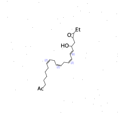 CCC1OC1CC(O)/C=C/C=C\C/C=C\C/C=C\CCCCCC(C)=O